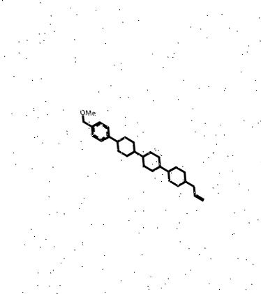 C=CCC1CCC(C2CCC(C3CCC(c4ccc(COC)cc4)CC3)CC2)CC1